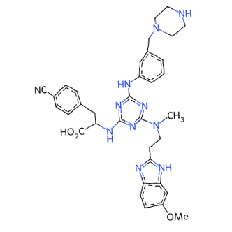 COc1ccc2nc(CCN(C)c3nc(Nc4cccc(CN5CCNCC5)c4)nc(NC(Cc4ccc(C#N)cc4)C(=O)O)n3)[nH]c2c1